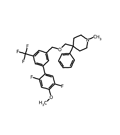 COc1cc(F)c(-c2cc(COCC3(c4ccccc4)CCN(C)CC3)cc(C(F)(F)F)c2)cc1F